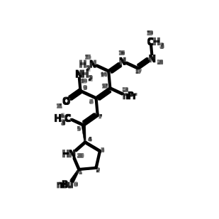 CCCC[C@@H]1CC[C@H](/C(C)=C/C(C(N)=O)=C(CCC)/C(N)=N\C=N/C)N1